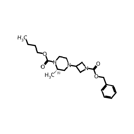 CCCCOC(=O)N1CCN(C2CN(C(=O)OCc3ccccc3)C2)C[C@@H]1C